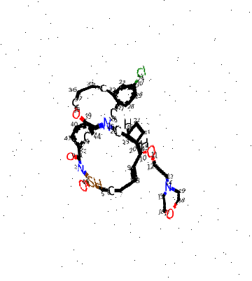 O=C1/N=[SH](=O)\CCC/C=C/[C@H](OCCN2CCOCC2)[C@@H]2CC[C@H]2CN2Cc3ccc(Cl)cc3CCCCOc3ccc1cc32